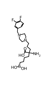 NC(CCCCB(O)O)(CCCN1CCN(Cc2ccc(F)c(F)c2)CC1)C(=O)O